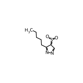 CCCCCC1=NN=CC1=S(=O)=O